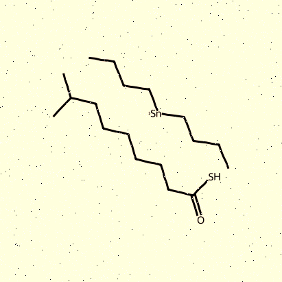 CC(C)CCCCCCC(=O)S.CCC[CH2][Sn][CH2]CCC